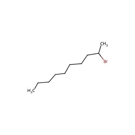 CCCCCCCCC(C)Br